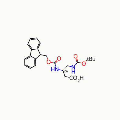 CC(C)(C)OC(=O)NC[C@H](CC(=O)O)NC(=O)OCC1c2ccccc2-c2ccccc21